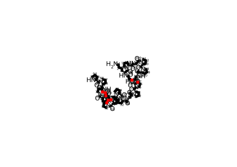 NCCCC[C@H](NC(=O)CNC(=O)[C@@H]1CCCN1C(=O)[C@@H]1CCCN1C(=O)CNC(=O)[C@@H]1CCCN1C(=O)[C@@H]1CCCN1C(=O)CNC(=O)[C@@H]1CCCN1C(=O)[C@@H]1CCCN1C(=O)CNC(=O)[C@@H]1CCCN1C(=O)[C@@H]1CCCN1C(=O)CNC(=O)[C@@H]1CCCN1C(=O)[C@@H]1CCCN1)C(=O)N1CCC[C@H]1C(=O)NCC(=O)N1CCC[C@H]1C(=O)N1CCC[C@H]1C(=O)NCC(=O)O